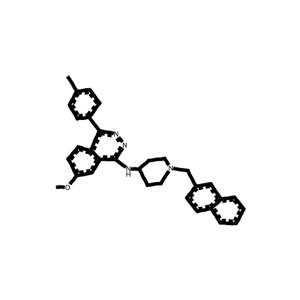 COc1ccc2c(-c3ccc(C)cc3)nnc(NC3CCN(Cc4ccc5ccccc5c4)CC3)c2c1